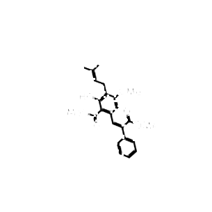 COC(=O)/C(=C\c1cc(OC)c(CC=C(C)C)c(O)c1C(=O)OC)c1ccccc1